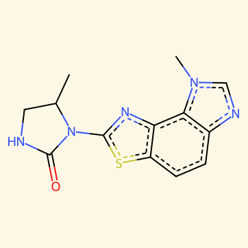 CC1CNC(=O)N1c1nc2c(ccc3ncn(C)c32)s1